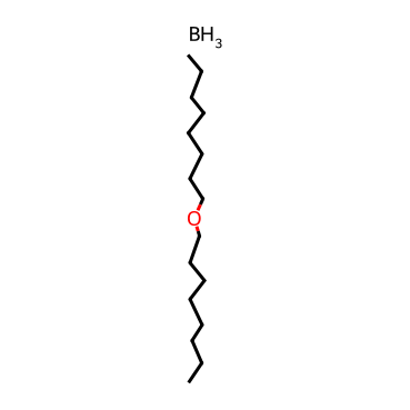 B.CCCCCCCCOCCCCCCCC